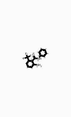 Nc1cccc(C(F)(F)F)c1C(=O)Nc1ccccc1